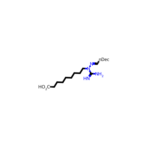 CCCCCCCCCCC=NN(CCCCCCCCC(=O)O)C(=N)N